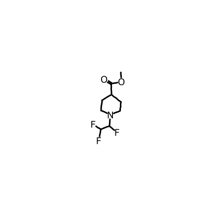 COC(=O)C1CCN(C(F)C(F)F)CC1